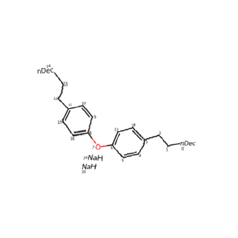 CCCCCCCCCCCCc1ccc(Oc2ccc(CCCCCCCCCCCC)cc2)cc1.[NaH].[NaH]